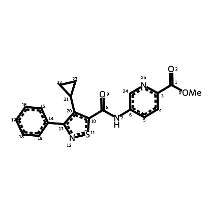 COC(=O)c1ccc(NC(=O)c2snc(-c3ccccc3)c2C2CC2)cn1